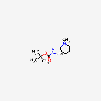 CN1CCC[C@H](CNC(=O)OC(C)(C)C)C1